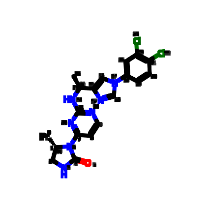 CC(C)[C@H]1CNC(=O)N1c1ccnc(N[C@@H](C)c2cn(-c3ccc(Cl)c(Cl)c3)cn2)n1